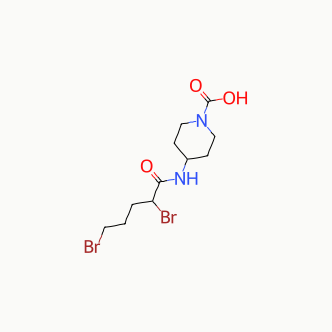 O=C(NC1CCN(C(=O)O)CC1)C(Br)CCCBr